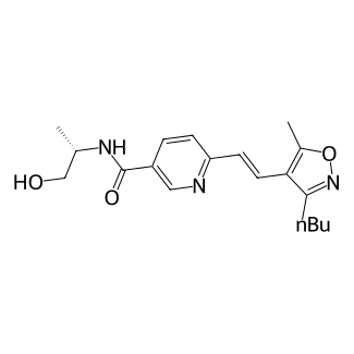 CCCCc1noc(C)c1C=Cc1ccc(C(=O)N[C@@H](C)CO)cn1